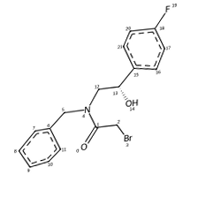 O=C(CBr)N(Cc1ccccc1)C[C@@H](O)c1ccc(F)cc1